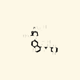 CC(C)(C)C12C[C@@H](CN1c1ccc3nccc(NC(=O)Nc4cnccn4)c3c1)N(C(=O)O)C2